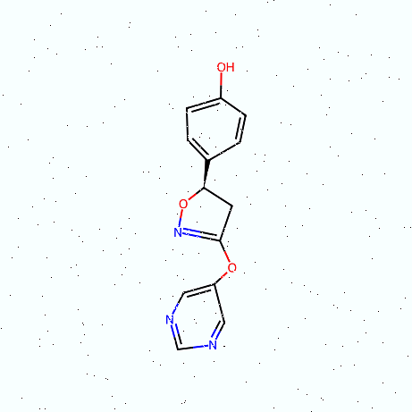 Oc1ccc([C@H]2CC(Oc3cncnc3)=NO2)cc1